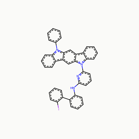 Ic1ccccc1-c1ccccc1Nc1cccc(-n2c3ccccc3c3cc4c(cc32)c2ccccc2n4-c2ccccc2)n1